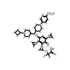 O=C(O)C(F)(F)F.O=C(O)c1ccc(N2CCC(CC3CCN(C4CCC4)CC3)CC2)cn1.O=C1C=C(N2CC2)C(=O)C(N2CC2)=C1N1CC1